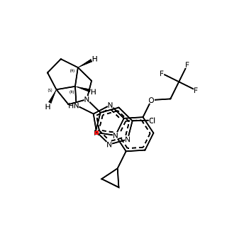 FC(F)(F)COc1ccc(C2CC2)n2nc(N[C@H]3[C@@H]4CC[C@H]3CN(c3cnnc(Cl)c3)C4)nc12